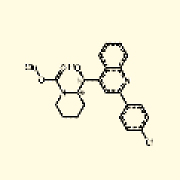 CC(C)(C)OC(=O)N1CCCC[C@@H]1[C@@H](O)c1cc(-c2ccc(Cl)cc2)nc2ccccc12